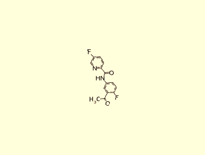 CC(=O)c1cc(NC(=O)c2ccc(F)cn2)ccc1F